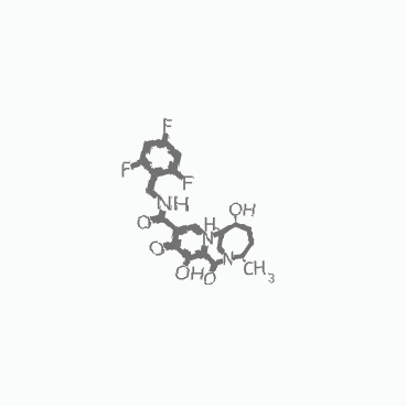 C[C@H]1CC[C@@H](O)[C@H]2CN1C(=O)c1c(O)c(=O)c(C(=O)NCc3c(F)cc(F)cc3F)cn12